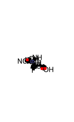 Cn1nc(C#N)cc1C/C(=C/C(=N)Cl)Nc1ccc(F)cc1COCc1ccc(O)cc1